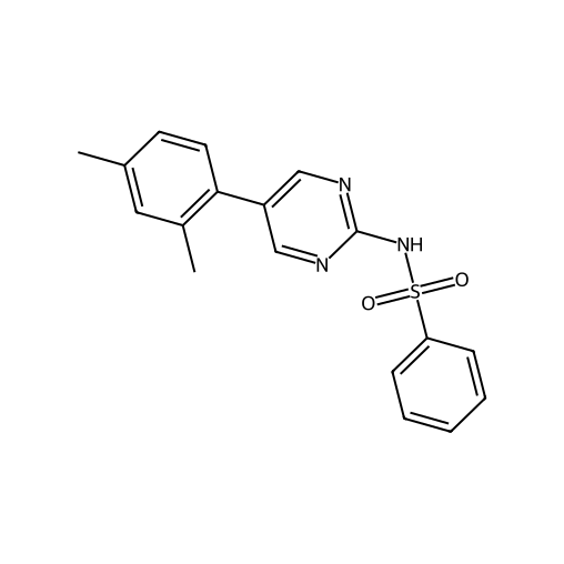 Cc1ccc(-c2cnc(NS(=O)(=O)c3ccccc3)nc2)c(C)c1